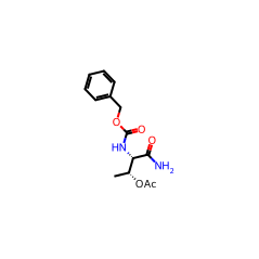 CC(=O)O[C@H](C)[C@H](NC(=O)OCc1ccccc1)C(N)=O